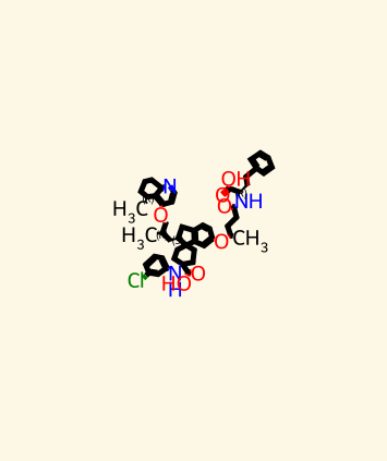 CC(CCC(=O)N[C@H](CCc1ccccc1)C(=O)O)Oc1ccc2c(c1)C1(CCC(Nc3cccc(Cl)c3)(C(=O)O)CC1)[C@@H](C[C@@H](C)COc1ccnc3c1[C@H](C)CCC3)C2